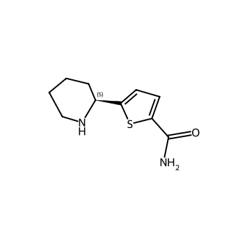 NC(=O)c1ccc([C@@H]2CCCCN2)s1